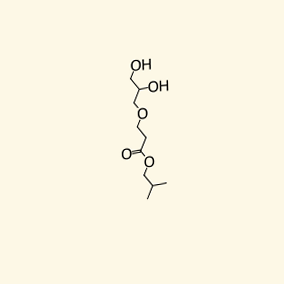 CC(C)COC(=O)CCOCC(O)CO